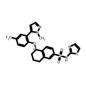 Cn1nccc1-c1cc(C(F)(F)F)ccc1O[C@@H]1CCCc2cc(S(=O)(=O)Nc3nccs3)ccc21